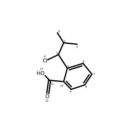 CC(C)C(Cl)c1ccccc1C(=O)O